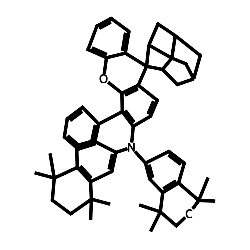 CC1(C)CCC(C)(C)c2cc(N(c3ccc4c(c3)C(C)(C)CCC4(C)C)c3ccc4c(c3-c3ccccc3)Oc3ccccc3C43C4CC5CC6CC3C64C5)ccc21